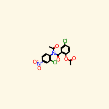 CC(=O)Oc1ccc(Cl)cc1C(=O)N(C(C)=O)c1ccc([N+](=O)[O-])cc1Cl